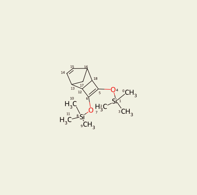 C[Si](C)(C)OC1=C(O[Si](C)(C)C)C2C3C=CC(C3)C12